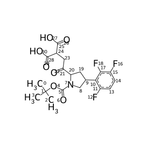 CC(C)(C)OC(=O)N1CC(c2c(F)ccc(F)c2F)CC1C(=O)CC(C(=O)O)C(=O)O